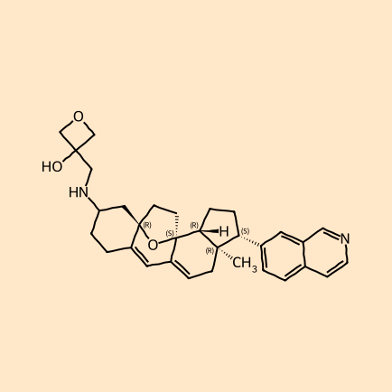 C[C@]12CC=C3C=C4CCC(NCC5(O)COC5)C[C@]45CC[C@]3(O5)[C@@H]1CC[C@@H]2c1ccc2ccncc2c1